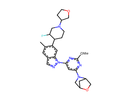 COc1nc(N2CC3CC2CO3)cc(-n2ncc3cc(C)c(C4CCN(C5CCOC5)CC4F)cc32)n1